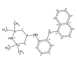 CC1(C)CC(Nc2ccccc2Oc2cccc3ccccc23)CC(C)(C)N1